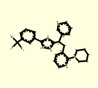 FC(F)(F)c1cccc(-c2nc(C(Cc3cccnc3N3CCCCC3)c3cccnc3)no2)c1